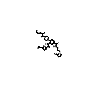 C=C(Nc1cc(C(=O)NCCCN2CCCC2=O)ccc1N1CCN(C(=C)/C(C)=C\C=C/C)CC1)C1=CCC(C2CC2)=N1